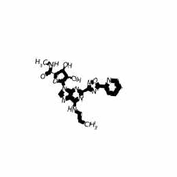 CCCNc1nc(-c2noc(-c3ccccn3)n2)nc2c1ncn2C1O[C@H](C(=O)NC)[C@@H](O)[C@H]1O